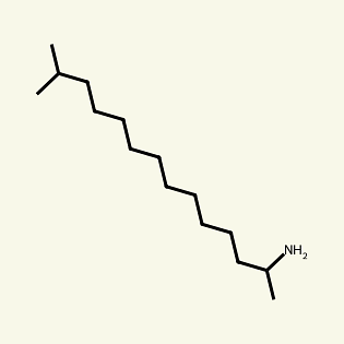 CC(C)CCCCCCCCCCC(C)N